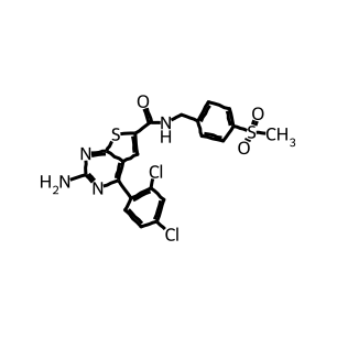 CS(=O)(=O)c1ccc(CNC(=O)c2cc3c(-c4ccc(Cl)cc4Cl)nc(N)nc3s2)cc1